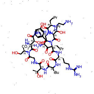 CCC(C)[C@H](NC(=O)[C@@H](CCCNC(=N)N)NC(=O)[C@@](CC(C)C)(C(=O)[C@@H](N)Cc1cccc(O)c1)N(C(=O)[C@H](CC(C)C)NC(=O)[C@@H](CC(C)C)NCCN)C(=O)[C@@H](N)[C@H](O)C(C)C)C(=O)N[C@H](C(=O)NCC(=O)N(C(=O)[C@@H](N)[C@H](O)C(N)=O)[C@@H](CO)C(=O)O)[C@H](C)O